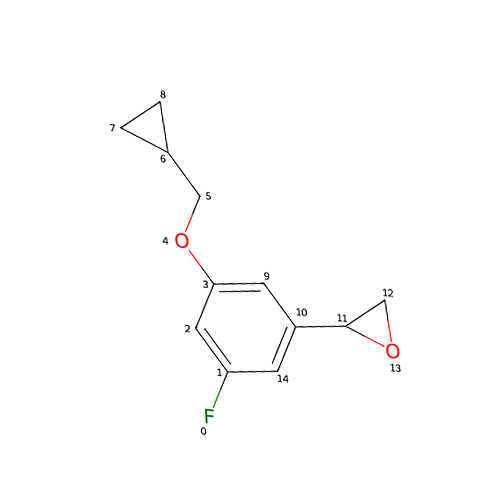 Fc1cc(OCC2CC2)cc(C2CO2)c1